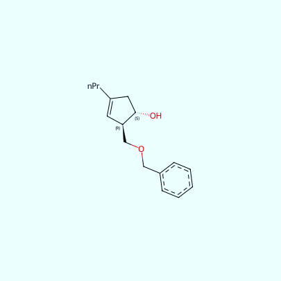 CCCC1=C[C@H](COCc2ccccc2)[C@@H](O)C1